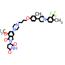 COc1cc(N2CCN(CCCCOc3ccc(C4CCN(c5ccc(C)c(C(F)(F)F)c5)CC4)c(C)c3)CC2)cc2c1C(=O)N(C1CCC(=O)NC1=O)C2